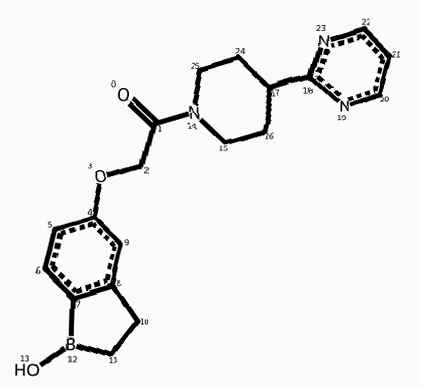 O=C(COc1ccc2c(c1)CCB2O)N1CCC(c2ncccn2)CC1